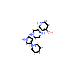 C1CCNC1.C1CCNCC1.C1CNCCN1.OC1CCNCC1